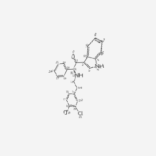 O=C(c1c[nH]c2ccccc12)[C@@H](NCCc1ccc(Cl)c(Cl)c1)c1ccccc1